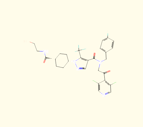 O=C(CN(Cc1ccc(F)cc1)C(=O)c1cnn([C@H]2CC[C@H](C(=O)NCCO)CC2)c1C(F)(F)F)c1c(Cl)cncc1Cl